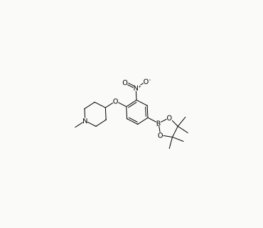 CN1CCC(Oc2ccc(B3OC(C)(C)C(C)(C)O3)cc2[N+](=O)[O-])CC1